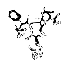 CC(=O)NS.CC1(C)S[C@@H]2[C@H](NC(=O)[C@@H](c3ccccc3)S(=O)(=O)O)C(=O)N2[C@H]1C(=O)O.O=S=O.[NaH].[NaH]